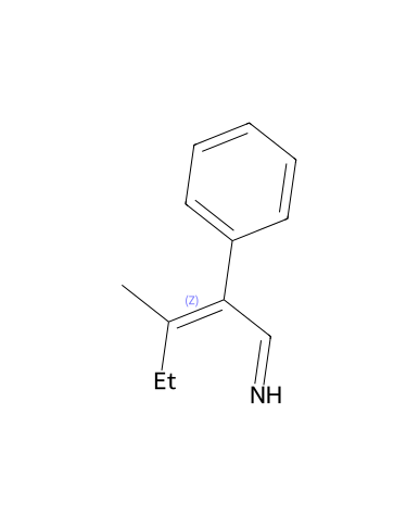 CC/C(C)=C(\C=N)c1ccccc1